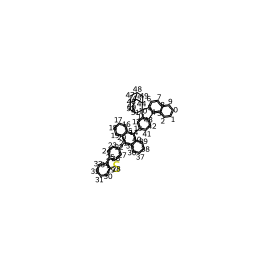 c1ccc2c3c(ccc2c1)C1(c2cc(-c4c5ccccc5c(-c5ccc6c(c5)sc5ccccc56)c5ccccc45)ccc2-3)C2CC3CC(C2)CC1C3